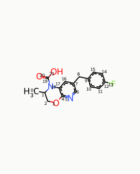 CC1COc2ncc(Cc3ccc(F)cc3)cc2N1C(=O)O